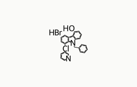 Br.Oc1cccc2c1c1cccc(Cl)c1n2Cc1ccccc1.c1ccncc1